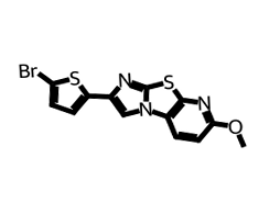 COc1ccc2c(n1)sc1nc(-c3ccc(Br)s3)cn12